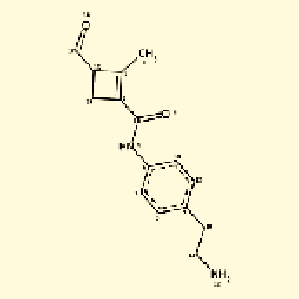 CC1=C(C(=O)Nc2ccc(CCN)cc2)CC1C=O